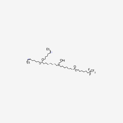 CC/C=C\CCCCOC(CCCCCCCN(CCO)CCCCCCCC(=O)OCCCCCCC(F)(F)C(F)(F)F)OCCCC/C=C\CC